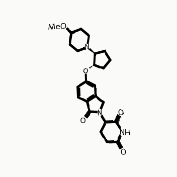 COC1CCN([C@H]2CCC[C@@H]2Oc2ccc3c(c2)CN(C2CCC(=O)NC2=O)C3=O)CC1